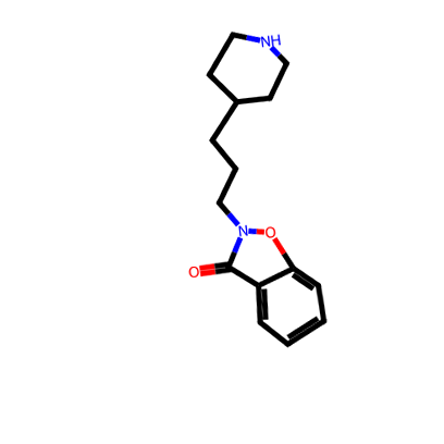 O=c1c2ccccc2on1CCCC1CCNCC1